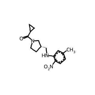 Cc1ccc([N+](=O)[O-])c(NC[C@@H]2CCN(C(=O)C3CC3)C2)c1